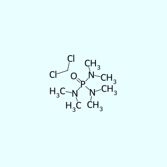 CN(C)P(=O)(N(C)C)N(C)C.ClCCl